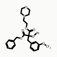 CC(C)OC(Cc1cccc(OC(F)(F)F)c1)(C(=O)OCCN1CCOCC1)C(=O)OCc1ccccc1